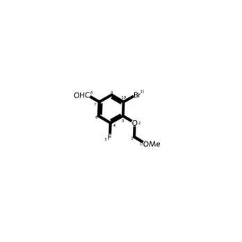 COCOc1c(F)cc(C=O)cc1Br